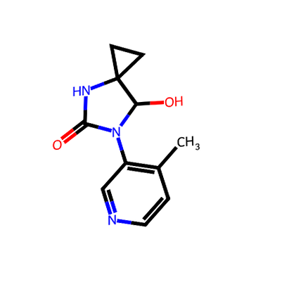 Cc1ccncc1N1C(=O)NC2(CC2)C1O